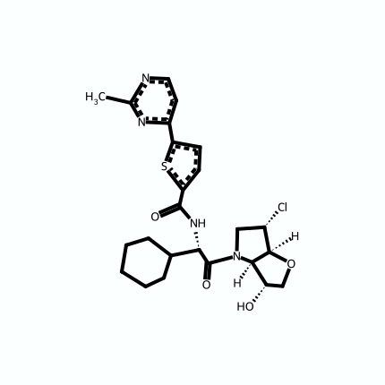 Cc1nccc(-c2ccc(C(=O)N[C@H](C(=O)N3C[C@H](Cl)[C@H]4OC[C@H](O)[C@H]43)C3CCCCC3)s2)n1